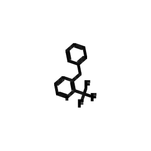 FC(F)(F)c1[c]cccc1Cc1ccccc1